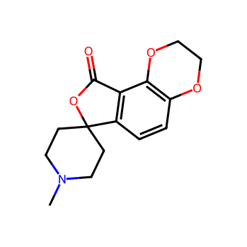 CN1CCC2(CC1)OC(=O)c1c2ccc2c1OCCO2